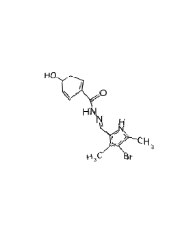 Cc1[nH]c(/C=N/NC(=O)C2=CCC(O)C=C2)c(C)c1Br